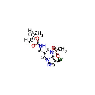 CC(C)(C)OC(=O)NCC1CN(S(C)(=O)=O)c2c(Br)cnn2C1